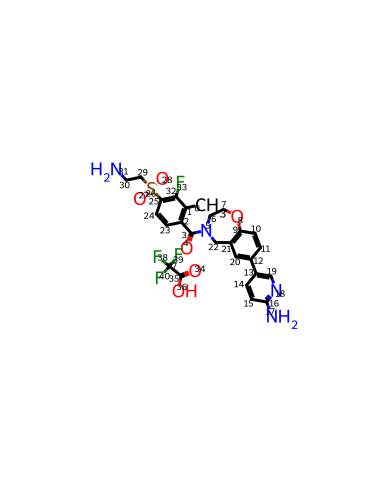 Cc1c(C(=O)N2CCOc3ccc(-c4ccc(N)nc4)cc3C2)ccc(S(=O)(=O)CCN)c1F.O=C(O)C(F)(F)F